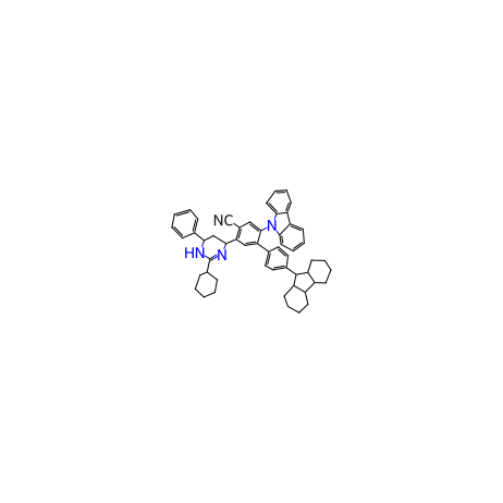 N#Cc1cc(-n2c3ccccc3c3ccccc32)c(-c2ccc(C3C4CCCCC4C4CCCCC43)cc2)cc1C1CC(c2ccccc2)NC(C2CCCCC2)=N1